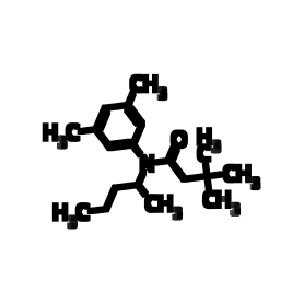 CCCC(C)N(C(=O)CC(C)(C)C)c1cc(C)cc(C)c1